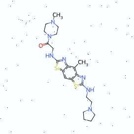 Cc1c2nc(NCCN3CCCC3)sc2cc2sc(NCC(=O)N3CCN(C)CC3)nc12